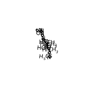 Cc1ncsc1-c1ccc(C(C)NC(=O)[C@@H]2C[C@@H](O)CN2C(=O)C(NC(=O)CN2CCN(c3ccc(-c4cnnc(-c5ccccc5O)c4)cc3)CC2)C(C)(C)C)cc1